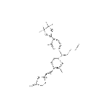 CCCCC(c1ccc(OC[C@H]2CCC(=O)O2)c(C)c1)c1ccc(B2OC(C)(C)C(C)(C)O2)c(C)c1